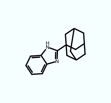 c1ccc2[nH]c(C34CC5CC(CC(C5)C3)C4)nc2c1